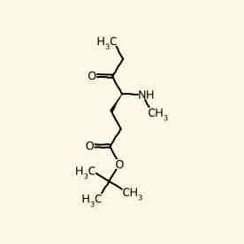 CCC(=O)[C@H](CCC(=O)OC(C)(C)C)NC